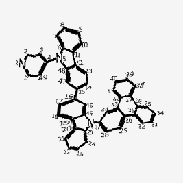 C1=NCCC(n2c3ccccc3c3ccc(-c4ccc5c6ccccc6n(-c6ccc7c8ccccc8c8ccccc8c7c6)c5c4)cc32)=C1